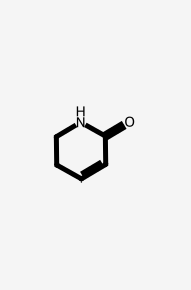 O=C1C=[C]CCN1